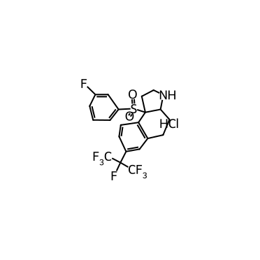 Cl.O=S(=O)(c1cccc(F)c1)C12CCNC1CCc1cc(C(F)(C(F)(F)F)C(F)(F)F)ccc12